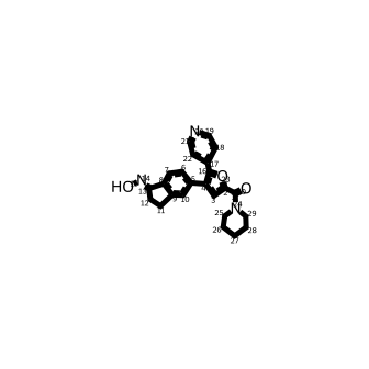 O=C(c1cc(-c2ccc3c(c2)CCC3=NO)c(-c2ccncc2)o1)N1CCCCC1